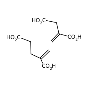 C=C(CC(=O)O)C(=O)O.C=C(CCC(=O)O)C(=O)O